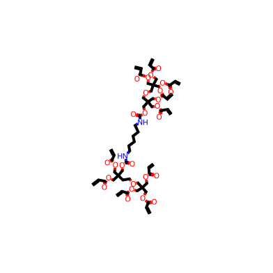 C=CC(=O)OCC(COCCC(COC(=O)C=C)(COC(=O)C=C)COC(=O)NCCCCCCNC(=O)OCC(COCC(COC(=O)C=C)(COC(=O)C=C)COC(=O)C=C)(COC(=O)C=C)COC(=O)C=C)(COC(=O)C=C)COC(=O)C=C